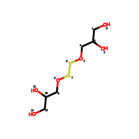 OCC(O)COSSOCC(O)CO